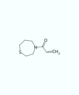 C=CC(=O)N1CCCSCC1